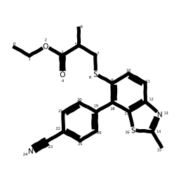 CCOC(=O)C(C)CSc1ccc2nc(C)sc2c1-c1ccc(C#N)cc1